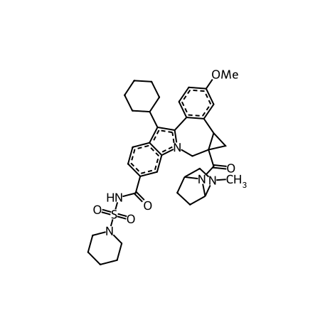 COc1ccc2c(c1)C1CC1(C(=O)N1C3CCC1N(C)C3)Cn1c-2c(C2CCCCC2)c2ccc(C(=O)NS(=O)(=O)N3CCCCC3)cc21